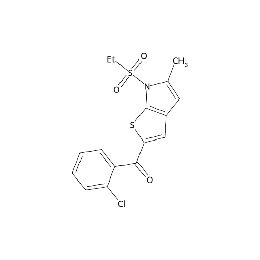 CCS(=O)(=O)n1c(C)cc2cc(C(=O)c3ccccc3Cl)sc21